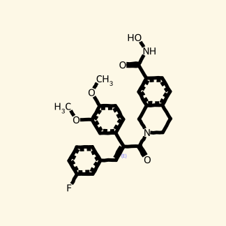 COc1ccc(/C(=C\c2cccc(F)c2)C(=O)N2CCc3ccc(C(=O)NO)cc3C2)cc1OC